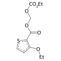 CCOC(=O)OCOC(=O)c1sccc1OCC